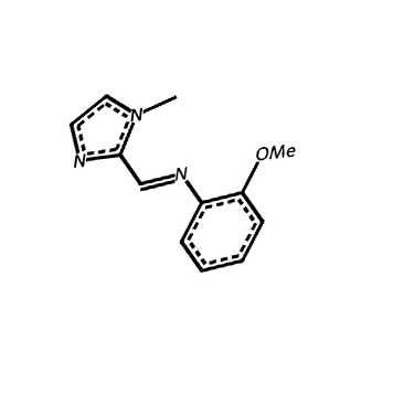 COc1ccccc1N=Cc1nccn1C